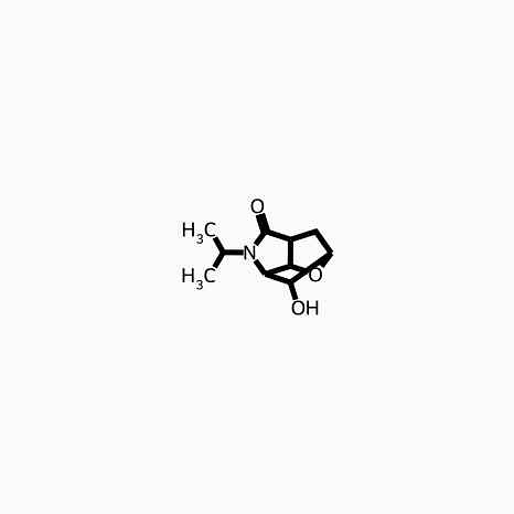 CC(C)N1C(=O)C2CC3OC2C1C3O